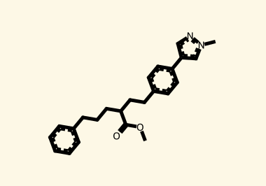 COC(=O)C(CCCc1ccccc1)CCc1ccc(-c2cnn(C)c2)cc1